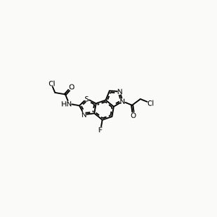 O=C(CCl)Nc1nc2c(F)cc3c(cnn3C(=O)CCl)c2s1